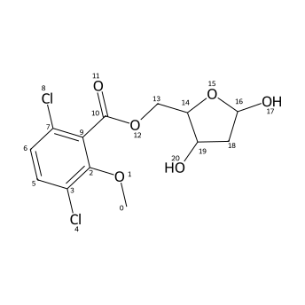 COc1c(Cl)ccc(Cl)c1C(=O)OCC1OC(O)CC1O